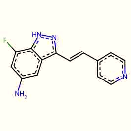 Nc1cc(F)c2[nH]nc(C=Cc3ccncc3)c2c1